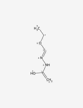 C=C(O)NN=COCC